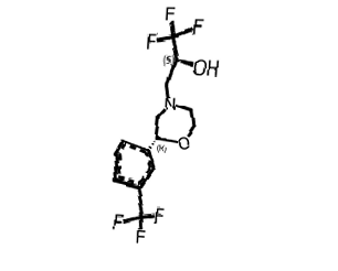 O[C@@H](CN1CCO[C@H](c2cccc(C(F)(F)F)c2)C1)C(F)(F)F